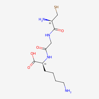 NCCCC[C@H](NC(=O)CNC(=O)[C@@H](N)CS)C(=O)O